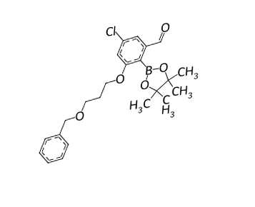 CC1(C)OB(c2c(C=O)cc(Cl)cc2OCCCOCc2ccccc2)OC1(C)C